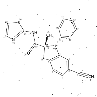 C#Cc1ccc2c(c1)[C@@H](c1ccccc1)[C@@](C)(C(=O)Nc1nccs1)C2